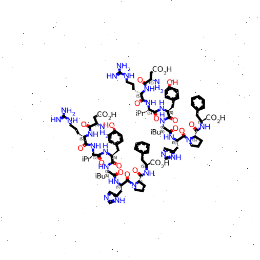 CC[C@H](C)[C@H](NC(=O)[C@H](Cc1ccc(O)cc1)NC(=O)[C@@H](NC(=O)[C@H](CCCNC(=N)N)NC(=O)[C@@H](N)CC(=O)O)C(C)C)C(=O)N[C@@H](Cc1cnc[nH]1)C(=O)N1CCC[C@H]1C(=O)N[C@@H](Cc1ccccc1)C(=O)O.CC[C@H](C)[C@H](NC(=O)[C@H](Cc1ccc(O)cc1)NC(=O)[C@@H](NC(=O)[C@H](CCCNC(=N)N)NC(=O)[C@@H](N)CC(=O)O)C(C)C)C(=O)N[C@@H](Cc1cnc[nH]1)C(=O)N1CCC[C@H]1C(=O)N[C@@H](Cc1ccccc1)C(=O)O